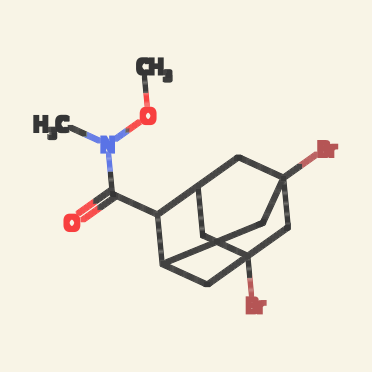 CON(C)C(=O)C1C2CC3(Br)CC1CC(Br)(C2)C3